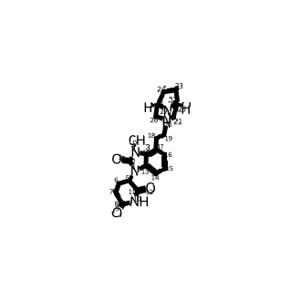 Cn1c(=O)n(C2CCC(=O)NC2=O)c2cccc(CCN3C[C@H]4CC[C@@H](C3)N4)c21